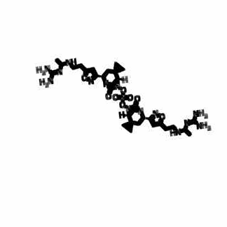 CC(N=C(N)N)NCCc1cc([C@@H]2CC3(CC3)[C@@H]3CN2C(=O)N3OS(=O)(=O)ON2C(=O)N3C[C@H]2C2(CC2)C[C@H]3c2cc(CCNC(C)N=C(N)N)on2)no1